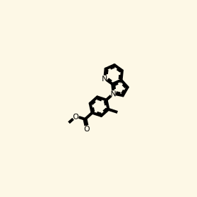 COC(=O)c1ccc(-n2ccc3cccnc32)c(C)c1